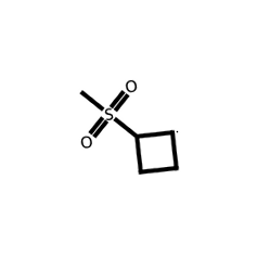 CS(=O)(=O)C1[CH]CC1